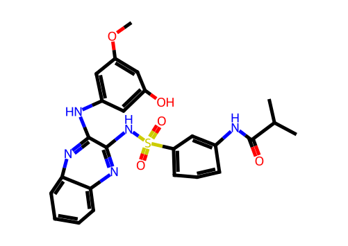 COc1cc(O)cc(Nc2nc3ccccc3nc2NS(=O)(=O)c2cccc(NC(=O)C(C)C)c2)c1